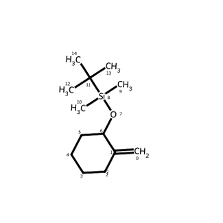 C=C1[C]CCCC1O[Si](C)(C)C(C)(C)C